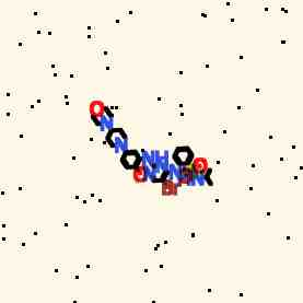 COc1ccc(N2CCC(N3CCOCC3)CC2)cc1Nc1ncc(Br)c(Nc2ccccc2S(=O)(=O)NC(C)C)n1